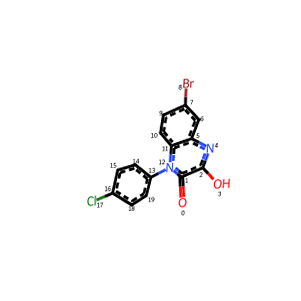 O=c1c(O)nc2cc(Br)ccc2n1-c1ccc(Cl)cc1